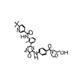 Cc1c(NC(=O)c2ccc(C(C)(C)C)nc2)cccc1-c1cn(C)c(=O)c(Nc2ccc(C(=O)N3CCOC(CO)C3)cc2)n1